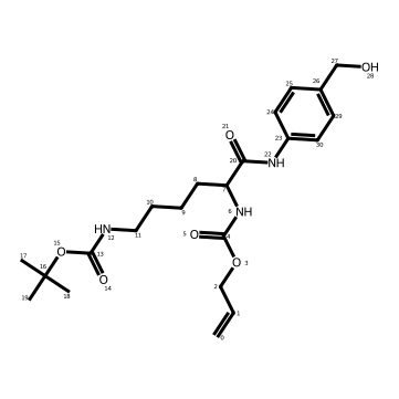 C=CCOC(=O)NC(CCCCNC(=O)OC(C)(C)C)C(=O)Nc1ccc(CO)cc1